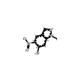 Cn1ncc2cc([N+](=O)[O-])c(Br)cc21